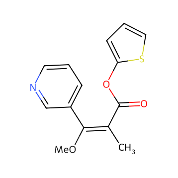 COC(=C(C)C(=O)Oc1cccs1)c1cccnc1